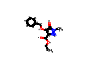 CCOC(=O)c1[nH]n(C)c(=O)c1OCc1ccccc1